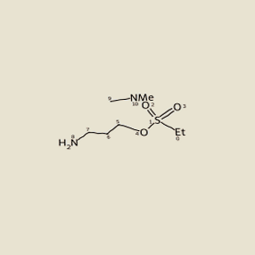 CCS(=O)(=O)OCCCN.CNC